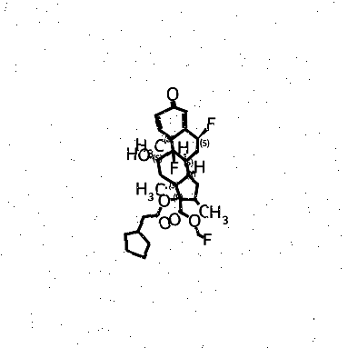 CC1C[C@H]2[C@@H]3C[C@H](F)C4=CC(=O)C=C[C@]4(C)C3(F)[C@@H](O)C[C@]2(C)[C@@]1(OC(=O)CC1CCCC1)C(=O)OCF